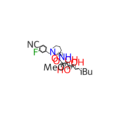 CCC(C)C=C[C@@H](O)[C@H](O)[C@@H](O)[C@@H](OC)C(=O)N[C@H]1CCCCN(Cc2ccc(C#N)c(F)c2)C1=O